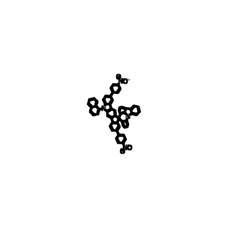 O=[N+]([O-])c1ccc(-c2ccc3c(c2)C2(c4cc5c6cc(-c7ccc([N+](=O)[O-])cc7)ccc6n(-c6cccc7ccccc67)c5cc4-3)c3ccccc3-n3c4ccccc4c4cccc2c43)cc1